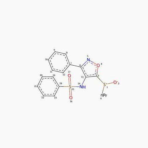 CCC[S+]([O-])c1onc(-c2ccccc2)c1NS(=O)(=O)c1ccccc1